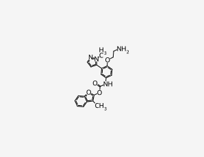 Cc1c(OC(=O)Nc2ccc(OCCN)c(-c3ccnn3C)c2)oc2ccccc12